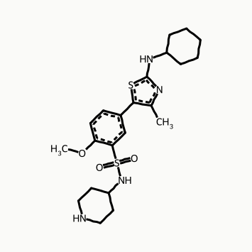 COc1ccc(-c2sc(NC3CCCCC3)nc2C)cc1S(=O)(=O)NC1CCNCC1